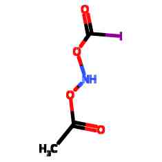 CC(=O)ONOC(=O)I